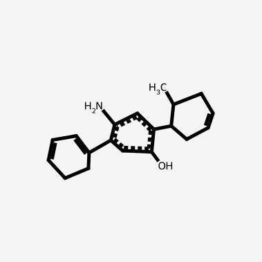 CC1CC=CCC1c1cc(N)c(C2=CC=CCC2)cc1O